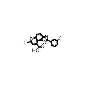 O=C(O)c1cc(Cl)nc2ccc3nc(-c4cccc(Cl)c4)oc3c12